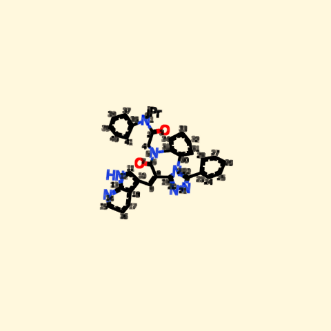 CC(C)N(C(=O)CN1C(=O)C(=Cc2c[nH]c3ncccc23)c2nnc(-c3ccccc3)n2-c2ccccc21)c1ccccc1